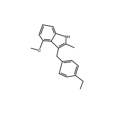 CCc1ccc(Cc2c(C)[nH]c3cccc(OC)c23)cc1